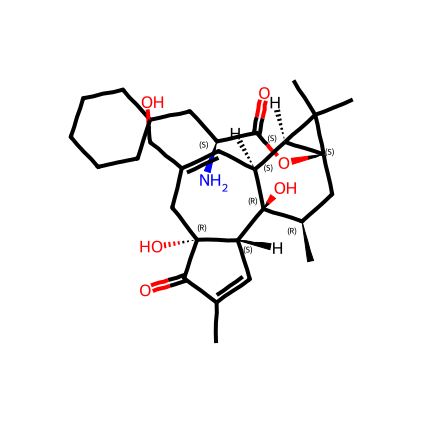 CC1=C[C@H]2[C@@]3(O)[C@H](C)C[C@]4(OC(=O)[C@@H](N)CC5CCCCC5)[C@@H]([C@@H]3C=C(CO)C[C@]2(O)C1=O)C4(C)C